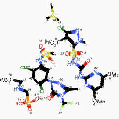 COc1cc(OC)nc(NC(=O)NS(=O)(=O)c2c(C(=O)O)c(Cl)nn2C)n1.C[S+](C)C.Cc1nn(-c2cc(NS(C)(=O)=O)c(Cl)cc2Cl)c(=O)n1C(F)F.O=C(O)CNCP(=O)([O-])O